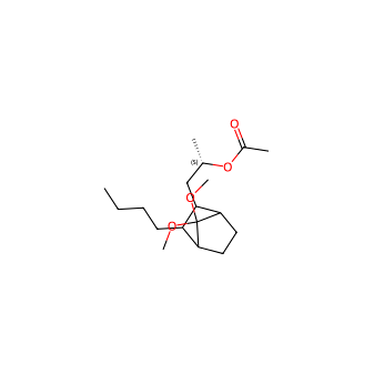 CCCCC1C(C[C@H](C)OC(C)=O)C2CCC1C2(OC)OC